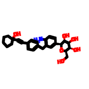 Nc1ccc([C@@H]2O[C@H](CO)[C@@H](O)[C@H](O)[C@H]2O)cc1Cc1ccc(C#CC2(O)CCCCC2)cc1